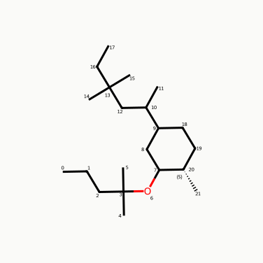 CCCC(C)(C)OC1CC(C(C)CC(C)(C)CC)CC[C@@H]1C